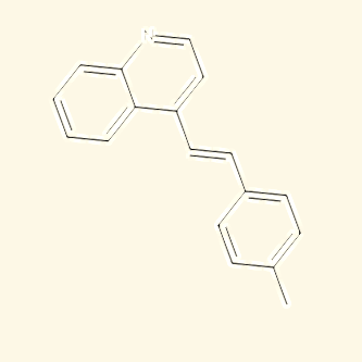 Cc1ccc(C=Cc2ccnc3ccccc23)cc1